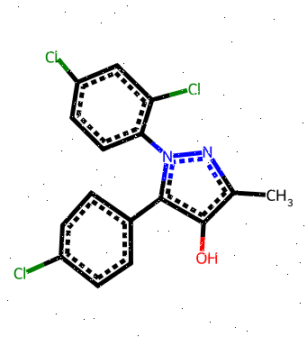 Cc1nn(-c2ccc(Cl)cc2Cl)c(-c2ccc(Cl)cc2)c1O